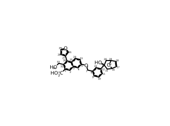 O=C(O)c1cc2cc(OCc3cccc(C4(O)CC5C=CC(C4)O5)c3)ccc2c(-c2ccoc2)c1CO